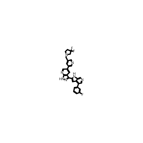 Fc1cccc(-c2cncc3[nH]c(-c4n[nH]c5ncc(-c6cncc(CN7CCC(F)(F)C7)c6)cc45)cc23)c1